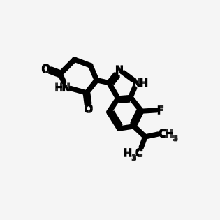 CC(C)c1ccc2c(C3CCC(=O)NC3=O)n[nH]c2c1F